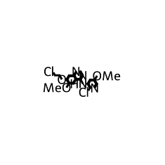 COc1cnc(Cl)c(Nc2ncnc3cc(OCCCl)c(OC)cc23)c1